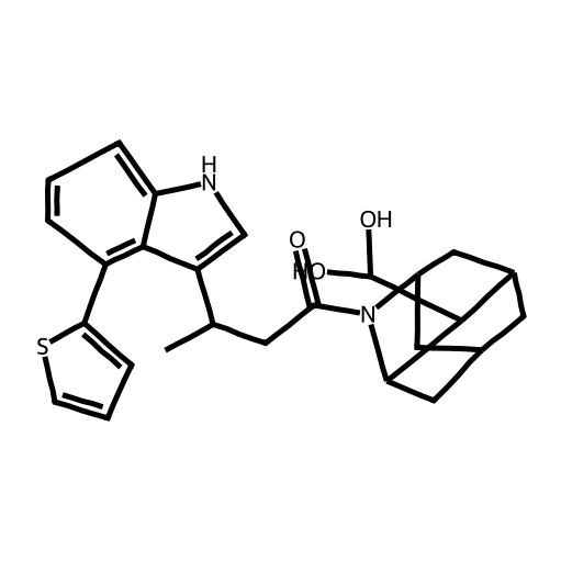 CC(CC(=O)N1C2CC3CC(C2)C(C(O)O)C1C3)c1c[nH]c2cccc(-c3cccs3)c12